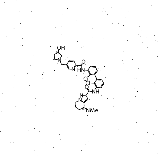 CN[C@H]1CCCn2nc(C(=O)Nc3cccc(-c4cccc(NC(=O)c5ccc(CN6CC[C@@H](O)C6)cn5)c4Cl)c3Cl)cc21